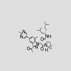 CC(=O)c1nn(CC(=O)N2[C@H](C(=O)N[C@@H](CCC(C)C)CC(C)C)C[C@@]3(C)C[C@@H]23)c2c(C)cc(-c3cnc(C)nc3)cc12